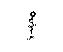 CC(C)C(=O)SCCCC(=O)Nc1nc(-c2ccccc2)cs1